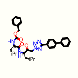 CC(C)C[C@H](NC(=O)[C@H](CC(C)C)NC(=O)OCc1ccccc1)C(=O)Cn1nnc(-c2ccc(-c3ccccc3)cc2)n1